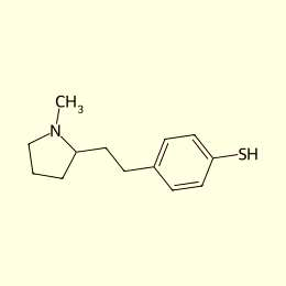 CN1CCCC1CCc1ccc(S)cc1